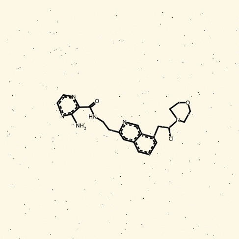 Nc1nccnc1C(=O)NCCc1cc2cccc(CC(Cl)N3CCOCC3)c2cn1